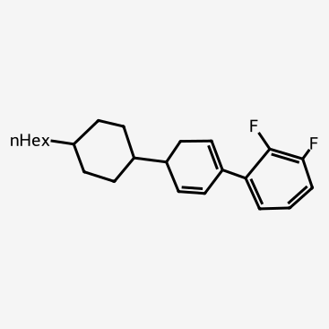 CCCCCCC1CCC(C2C=CC(c3cccc(F)c3F)=CC2)CC1